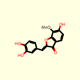 COc1c(O)ccc2c1OC(=Cc1ccc(O)c(O)c1)C2=O